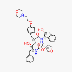 C[C@]1(OC(=O)N[C@@H](Cc2ccccc2)[C@@H](O)C[C@@H](Cc2ccc(OCCN3CCOCC3)cc2)C(=O)N[C@H]2c3ccccc3C[C@H]2O)CCOC1